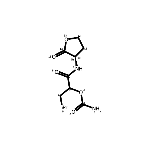 CC(C)CC(OC(N)=O)C(=O)N[C@@H]1CCOC1=O